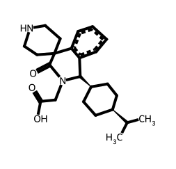 CC(C)[C@H]1CC[C@@H](C2c3ccccc3C3(CCNCC3)C(=O)N2CC(=O)O)CC1